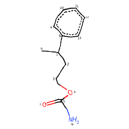 CC(CCOC(N)=O)c1ccccc1